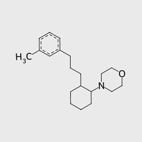 Cc1cccc(CCCC2CCCCC2N2CCOCC2)c1